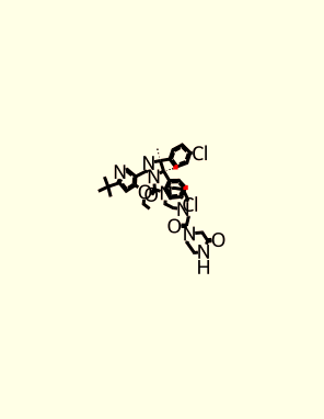 CCOc1cc(C(C)(C)C)ncc1C1=N[C@@](C)(c2ccc(Cl)cc2)[C@@](C)(c2ccc(Cl)cc2)N1C(=O)N1CCCN(CC(=O)N2CCNC(=O)C2)CC1